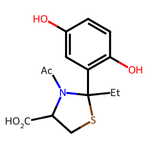 CCC1(c2cc(O)ccc2O)SCC(C(=O)O)N1C(C)=O